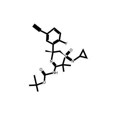 C#Cc1ccc(F)c([C@]2(C)C[S@@](=O)(=NC3CC3)C(C)(C)C(NC(=O)OC(C)(C)C)=N2)c1